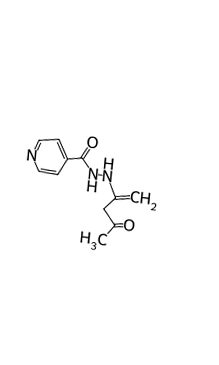 C=C(CC(C)=O)NNC(=O)c1ccncc1